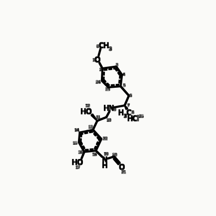 COc1ccc(C[C@@H](C)NC[C@H](O)c2ccc(O)c(NC=O)c2)cc1.Cl